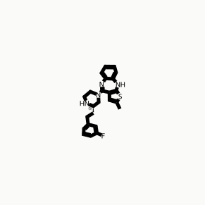 Cc1cc2c(s1)Nc1ccccc1N=C2N1CCN[C@@H](CCc2cccc(F)c2)C1